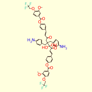 COc1cc(C(=O)Oc2ccc(/C=C/C(=O)CC(Cc3ccc(N)cc3)(Cc3ccc(N)cc3)C(O)(O)C(=O)/C=C/c3ccc(OC(=O)c4ccc(OCC(F)(F)F)c(OC)c4)cc3)cc2)ccc1OCC(F)(F)F